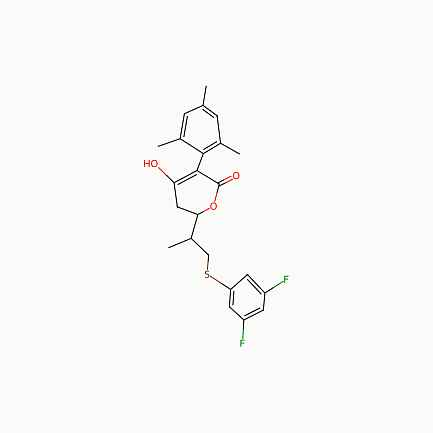 Cc1cc(C)c(C2=C(O)CC(C(C)CSc3cc(F)cc(F)c3)OC2=O)c(C)c1